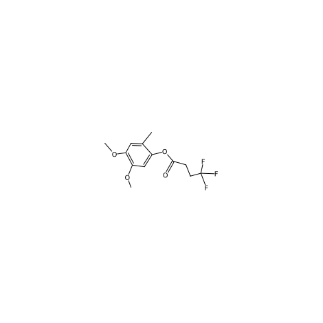 COc1cc(C)c(OC(=O)CCC(F)(F)F)cc1OC